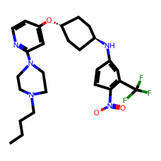 CCCCN1CCN(c2cc(O[C@H]3CC[C@H](Nc4ccc([N+](=O)[O-])c(C(F)(F)F)c4)CC3)ccn2)CC1